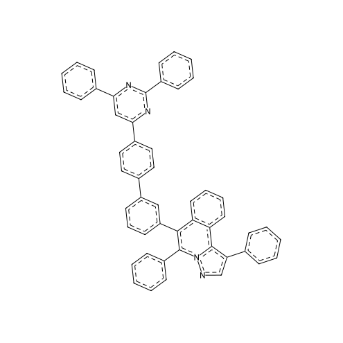 c1ccc(-c2cc(-c3ccc(-c4cccc(-c5c(-c6ccccc6)n6ncc(-c7ccccc7)c6c6ccccc56)c4)cc3)nc(-c3ccccc3)n2)cc1